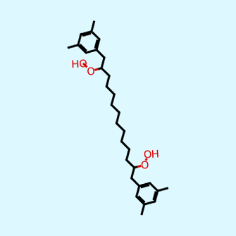 Cc1cc(C)cc(CC(CCCCCCCCCCC(Cc2cc(C)cc(C)c2)OO)OO)c1